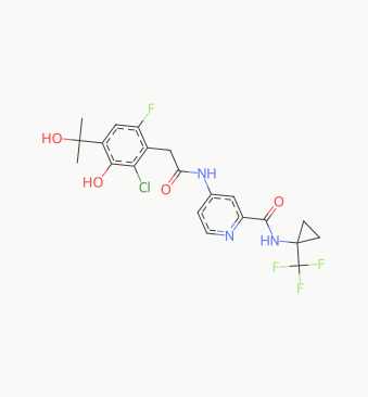 CC(C)(O)c1cc(F)c(CC(=O)Nc2ccnc(C(=O)NC3(C(F)(F)F)CC3)c2)c(Cl)c1O